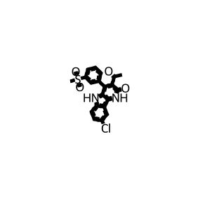 CC(=O)c1c(-c2cccc(S(C)(=O)=O)c2)c2[nH]c3ccc(Cl)cc3c2[nH]c1=O